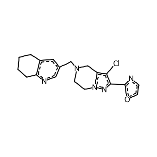 Clc1c(-c2ncco2)nn2c1CN(Cc1cnc3c(c1)CCCC3)CC2